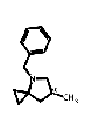 C[C@@H]1CN(Cc2ccccc2)C2(CC2)C1